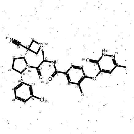 Cc1cc(Oc2ccc(C(=O)N[C@H](C)C(=O)N3[C@H](c4cccc(Cl)c4)CC[C@@H]3C3(C#N)COC3)cc2C)c(=O)[nH]n1